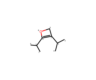 CC(C)C1=C(C(C)C)OC1